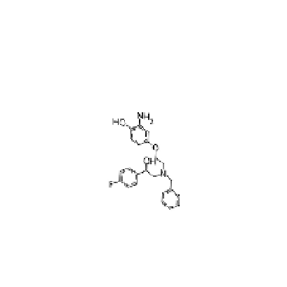 Nc1cc(OCCN(Cc2ccccc2)CC(O)c2ccc(F)cc2)ccc1O